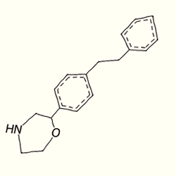 c1ccc(CCc2ccc(C3CNCCO3)cc2)cc1